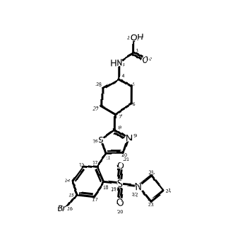 O=C(O)NC1CCC(c2ncc(-c3ccc(Br)cc3S(=O)(=O)N3CCC3)s2)CC1